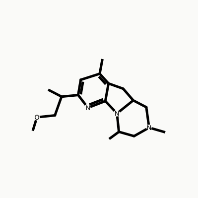 COCC(C)c1cc(C)c2c(n1)N1C(C)CN(C)CC1C2